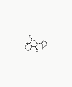 Cn1cccc1C1=CC(=O)c2ncccc2C1=O